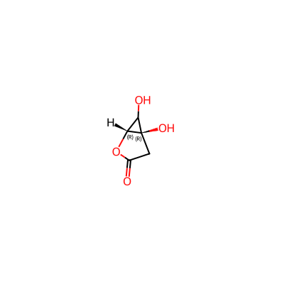 O=C1C[C@@]2(O)C(O)[C@H]2O1